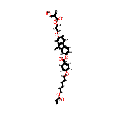 C=CC(=O)OCCCCCCOc1ccc(C(=O)Oc2ccc3c(c2)C(C)c2cc(OCCCOC(=O)C(=C)CO)ccc2-3)cc1